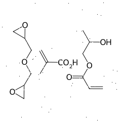 C(OCC1CO1)C1CO1.C=C(C)C(=O)O.C=CC(=O)OCC(C)O